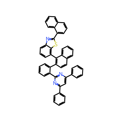 c1ccc(-c2cc(-c3ccccc3)nc(-c3ccccc3-c3ccc4ccccc4c3-c3cccc4nc(-c5cccc6ccccc56)sc34)n2)cc1